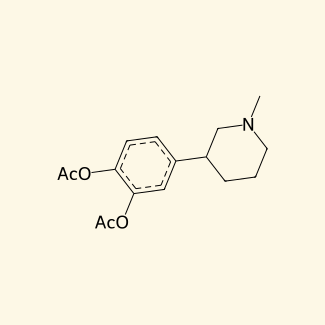 CC(=O)Oc1ccc(C2CCCN(C)C2)cc1OC(C)=O